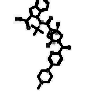 CN1CCN(c2ccc(C(=O)N3C[C@@H]4C[C@H]3CN4C(=O)[C@@H](n3c(C(=O)O)cc4ccccc43)C(C)(C)C)nc2)CC1